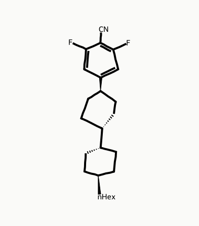 CCCCCC[C@H]1CC[C@H]([C@H]2CC[C@H](c3cc(F)c(C#N)c(F)c3)CC2)CC1